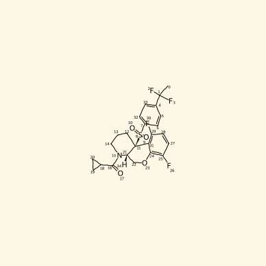 CC(F)(F)c1ccc(S(=O)(=O)[C@]23CCCN(C(=O)C4CC4)[C@H]2COc2c(F)ccc(F)c23)cc1